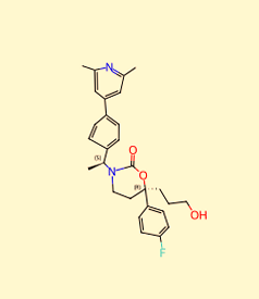 Cc1cc(-c2ccc([C@H](C)N3CC[C@](CCCO)(c4ccc(F)cc4)OC3=O)cc2)cc(C)n1